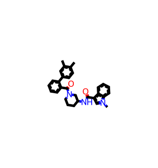 Cc1ccc(-c2ccccc2C(=O)N2CCCC(NC(=O)c3cn(C)c4ccccc34)C2)cc1C